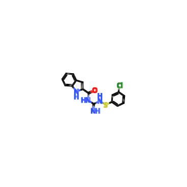 N=C(NSc1cccc(Cl)c1)NC(=O)c1cc2ccccc2[nH]1